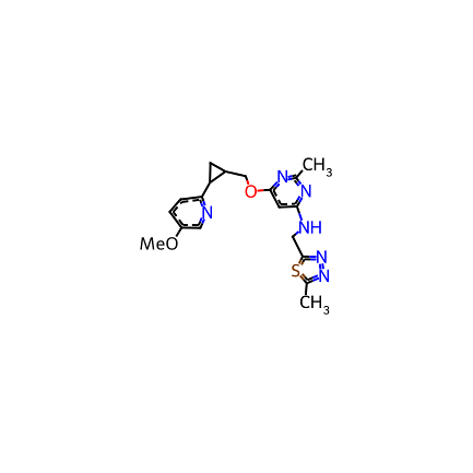 COc1ccc(C2CC2COc2cc(NCc3nnc(C)s3)nc(C)n2)nc1